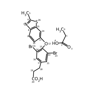 CCC(=O)O.Cc1nc2ccc(Oc3c(Br)cc(CCC(=O)O)cc3Br)cc2s1